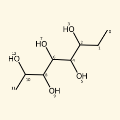 CCC(O)C(O)C(O)C(O)C(C)O